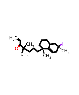 C=CC(=O)C(C)(C)CCC[C@]1(C)CCCC2C[C@@](C)(I)CC=C21